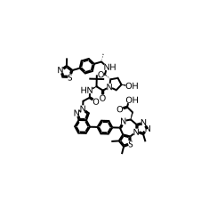 Cc1ncsc1-c1ccc([C@H](C)NC(=O)[C@@H]2C[C@@H](O)CN2C(=O)[C@@H](NC(=O)Cn2cc3c(-c4ccc(C5=N[C@@H](CC(=O)O)c6nnc(C)n6-c6sc(C)c(C)c65)cc4)cccc3n2)C(C)(C)C)cc1